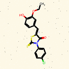 CCOc1cc(/C=C2\SC(=S)N(c3ccc(Cl)cc3)C2=O)ccc1O